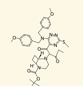 CCC(=O)C(C(=O)c1nc(SC)nnc1N(Cc1ccc(OC)cc1)Cc1ccc(OC)cc1)N1CCN(C(=O)OC(C)(C)C)[C@H]2CC[C@@H]21